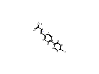 O=C(O)/C=C/c1ccc(-c2ccc(F)cc2)nc1